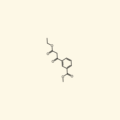 CCOC(=O)CC(=O)c1cccc(C(=O)OC)c1